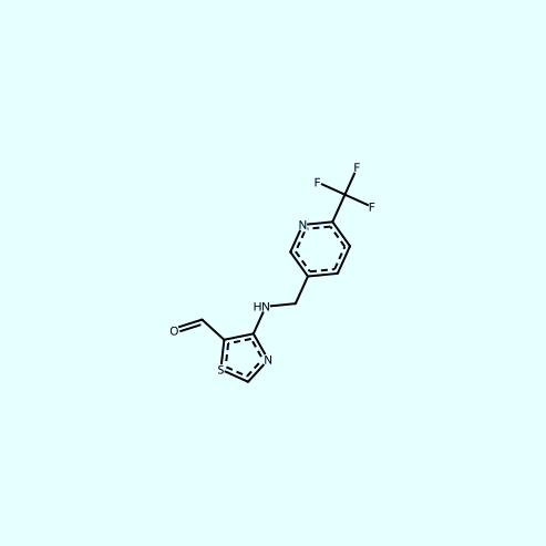 O=Cc1scnc1NCc1ccc(C(F)(F)F)nc1